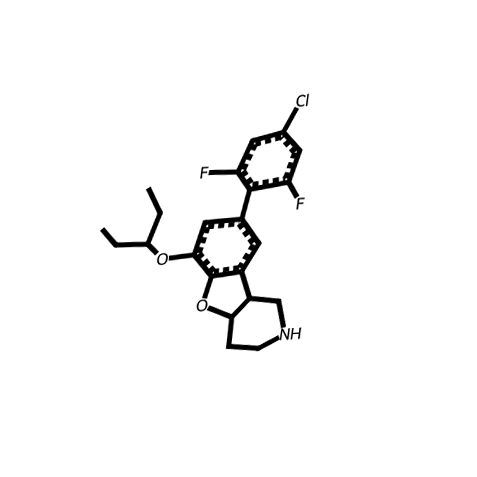 CCC(CC)Oc1cc(-c2c(F)cc(Cl)cc2F)cc2c1OC1CCNCC21